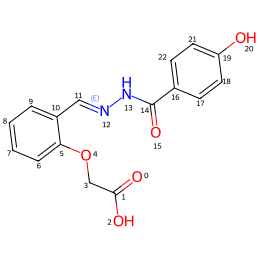 O=C(O)COc1ccccc1/C=N/NC(=O)c1ccc(O)cc1